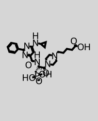 O=C(O)CCCCN1CCN(C(=O)[C@H](CP(=O)(O)O)NC(=O)c2cc(NC3CC3)nc(-c3ccccc3)n2)CC1